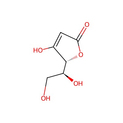 O=C1C=C(O)[C@@H]([C@@H](O)CO)O1